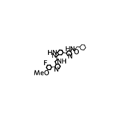 COc1cc(F)cc(-c2nccc3[nH]c(-c4n[nH]c5ccc(-c6cncc(NC(=O)CC7CCCCC7)c6)cc45)cc23)c1